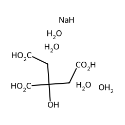 O.O.O.O.O=C(O)CC(O)(CC(=O)O)C(=O)O.[NaH]